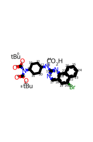 CC(C)(C)OC(=O)N(C(=O)OC(C)(C)C)C1CCC(N(C(=O)O)c2ncc3cc(Br)c4ccccc4c3n2)CC1